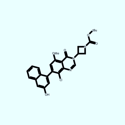 COc1cc(-c2cc(O)cc3ccccc23)c(Cl)c2ncn(C3CN(C(=O)OC(C)(C)C)C3)c(=O)c12